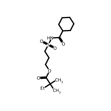 CCC(C)(C)C(=O)OCCCS(=O)(=O)NC(=O)C1CCCCC1